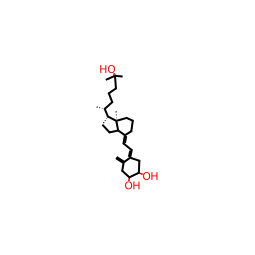 C=C1C[C@H](O)[C@H](O)C/C1=C/C=C1CCC[C@@]2(C)C1CC[C@@H]2[C@H](C)CCCC(C)(C)O